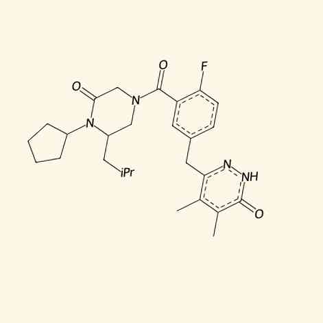 Cc1c(Cc2ccc(F)c(C(=O)N3CC(=O)N(C4CCCC4)C(CC(C)C)C3)c2)n[nH]c(=O)c1C